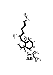 CCOC=CCC[C@@H](C)[C@H]1CC[C@H]2[C@@H](O[Si](C)(C)C(C)(C)C)CCC[C@]12C